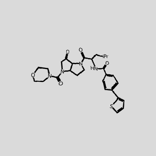 CC(C)CC(NC(=O)c1ccc(-c2cccs2)cc1)C(=O)N1CCC2C1C(=O)CN2C(=O)N1CCOCC1